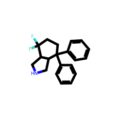 FC1(F)CCC(c2ccccc2)(c2ccccc2)C2CNCC21